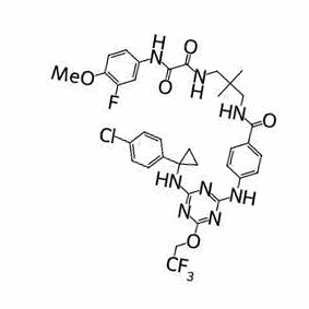 COc1ccc(NC(=O)C(=O)NCC(C)(C)CNC(=O)c2ccc(Nc3nc(NC4(c5ccc(Cl)cc5)CC4)nc(OCC(F)(F)F)n3)cc2)cc1F